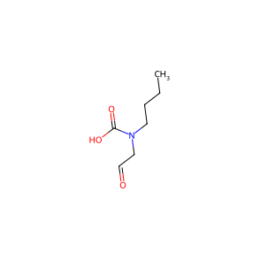 CCCCN(CC=O)C(=O)O